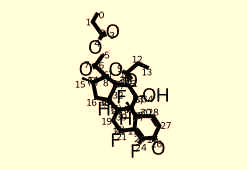 CCC(=O)OCC(=O)[C@]1(OC(=O)CC)[C@H](C)C[C@H]2[C@@H]3C[C@H](F)C4=C(F)C(=O)C=C[C@]4(C)[C@@]3(F)[C@@H](O)C[C@@]21C